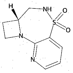 O=S1(=O)NC[C@H]2CCN2c2ncccc21